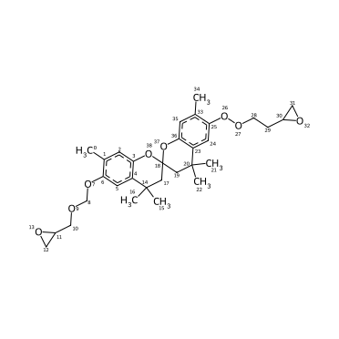 Cc1cc2c(cc1OCOCC1CO1)C(C)(C)CC1(CC(C)(C)c3cc(OOCCC4CO4)c(C)cc3O1)O2